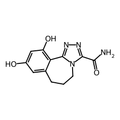 NC(=O)c1nnc2n1CCCc1cc(O)cc(O)c1-2